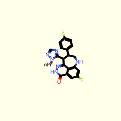 CCCn1ncnc1C1c2n[nH]c(=O)c3cc(F)cc(c23)NCC1c1ccc(F)cc1